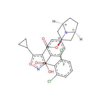 O=C(O)c1ccc(N2[C@@H]3CC[C@H]2C[C@@H](OC(=O)c2c(-c4c(Cl)cccc4Cl)noc2C2CC2)C3)cc1F